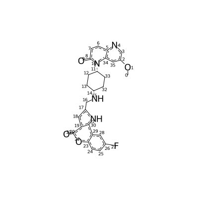 COc1cnc2ccc(=O)n([C@H]3CC[C@@H](NCc4cc5c(=O)oc6ccc(F)cc6c5[nH]4)CC3)c2c1